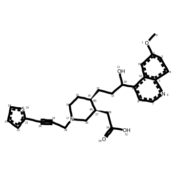 COc1ccc2nccc(C(O)CC[C@@H]3CCN(CC#Cc4cccs4)C[C@@H]3CC(=O)O)c2c1